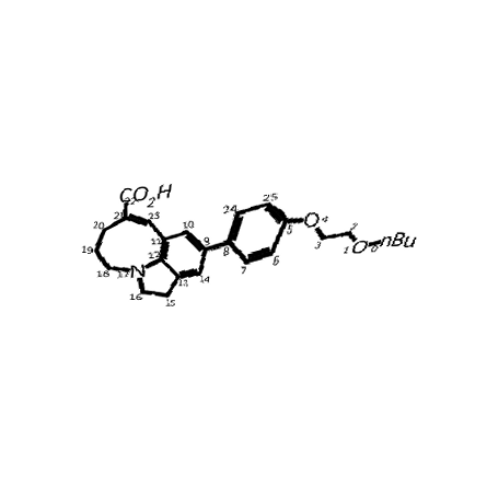 CCCCOCCOc1ccc(-c2cc3c4c(c2)CCN4CCCC(C(=O)O)=C3)cc1